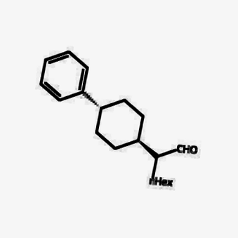 CCCCCCC(C=O)[C@H]1CC[C@H](c2ccccc2)CC1